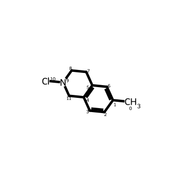 Cc1ccc2c(c1)CCN(Cl)C2